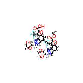 CCOC(=O)c1oc2ccc3cn(C[C@H]4COCCO4)nc3c2c1C(F)(F)F.O=C(O)c1oc2ccc3cn(C[C@H]4COCCO4)nc3c2c1C(F)(F)F